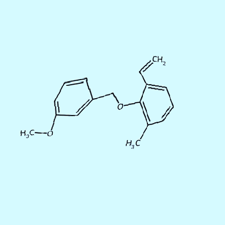 C=Cc1cccc(C)c1OCc1cccc(OC)c1